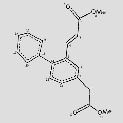 COC(=O)C=Cc1cc(CC(=O)OC)ccc1-c1ccccc1